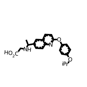 CC(C)Oc1ccc(Oc2ccc3cc(C(C)NCC(=O)O)ccc3n2)cc1